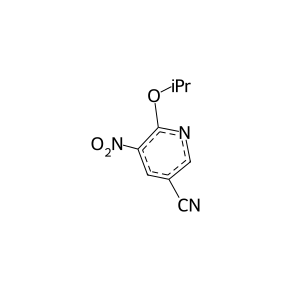 CC(C)Oc1ncc(C#N)cc1[N+](=O)[O-]